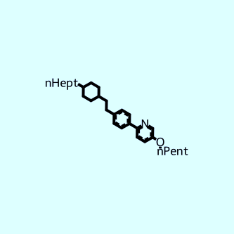 CCCCCCCC1CCC(CCc2ccc(-c3ccc(OCCCCC)cn3)cc2)CC1